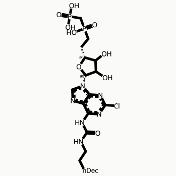 CCCCCCCCCCCCNC(=O)Nc1nc(Cl)nc2c1ncn2[C@@H]1O[C@H](CCP(=O)(O)CP(=O)(O)O)C(O)C1O